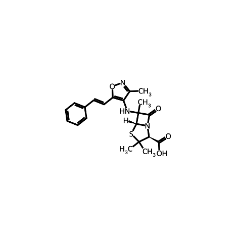 Cc1noc(/C=C/c2ccccc2)c1NC1(C)C(=O)N2[C@@H](C(=O)O)C(C)(C)S[C@@H]21